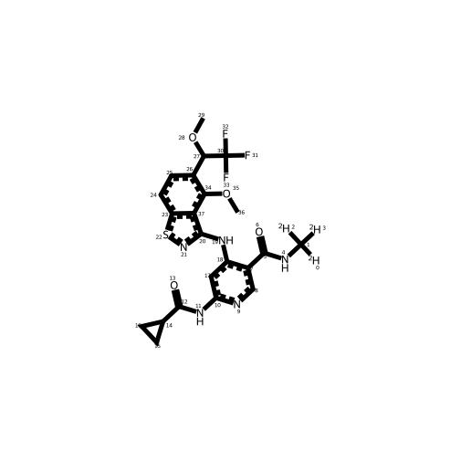 [2H]C([2H])([2H])NC(=O)c1cnc(NC(=O)C2CC2)cc1Nc1nsc2ccc(C(OC)C(F)(F)F)c(OC)c12